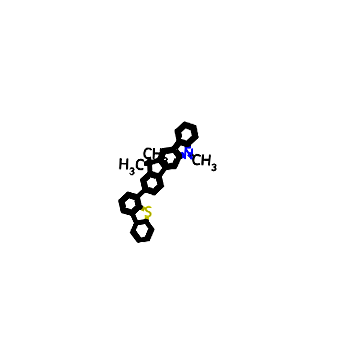 Cn1c2ccccc2c2cc3c(cc21)-c1ccc(-c2cccc4c2SC2C=CC=CC42)cc1C3(C)C